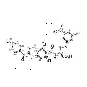 C[S+]([O-])c1cc(F)cc(CC[C@H](NC(=O)c2c(Cl)cc3c(c2Cl)CCN(C(=O)c2ccc(Cl)cc2)C3)C(=O)O)c1